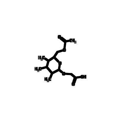 CC(=O)OCC1OC(OCC(=O)O)C(C)C(C)C1C